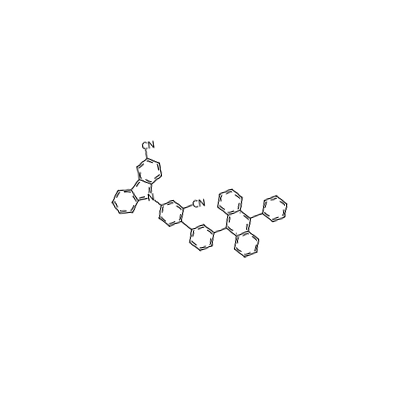 N#Cc1ccc2c(c1)c1ccccc1n2-c1ccc(-c2cccc(-c3c4ccccc4c(-c4ccccc4)c4ccccc34)c2)c(C#N)c1